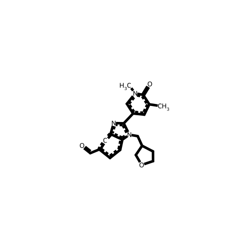 Cc1cc(-c2nc3cc(C=O)ccc3n2CC2CCOC2)cn(C)c1=O